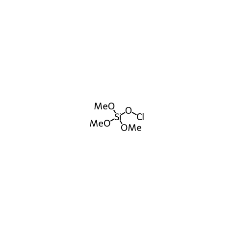 CO[Si](OC)(OC)OCl